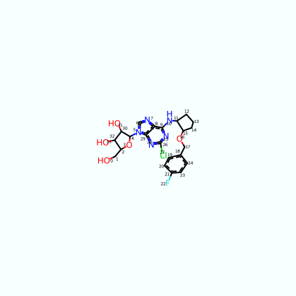 OCC1OC(n2cnc3c(NC4CCCC4OCc4ccc(F)cc4)nc(Cl)nc32)C(O)C1O